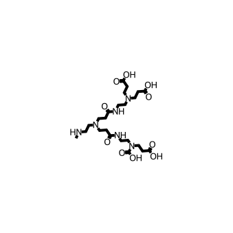 CNCCN(CCC(=O)NCCN(CCC(=O)O)CCC(=O)O)CCC(=O)NCCN(CCC(=O)O)C(=O)O